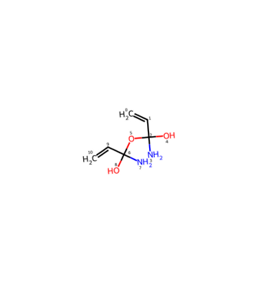 C=CC(N)(O)OC(N)(O)C=C